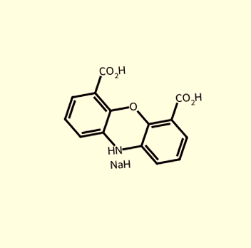 O=C(O)c1cccc2c1Oc1c(cccc1C(=O)O)N2.[NaH]